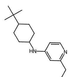 CCc1cc(NC2CCC(C(C)(C)C)CC2)ccn1